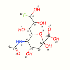 CC(=O)N[C@H]1[C@H]([C@H](O)[C@H](O)C(O)F)O[C@](O)(C(=O)O)C[C@@H]1O